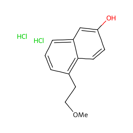 COCCc1cccc2cc(O)ccc12.Cl.Cl